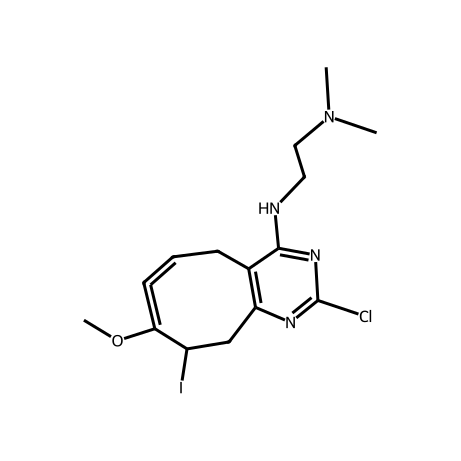 COC1=C=CCc2c(nc(Cl)nc2NCCN(C)C)CC1I